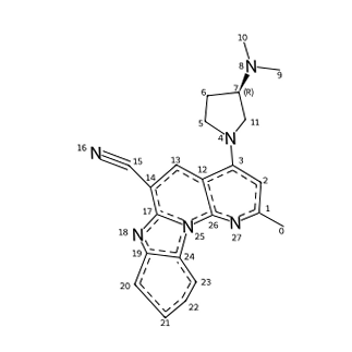 Cc1cc(N2CC[C@@H](N(C)C)C2)c2cc(C#N)c3nc4ccccc4n3c2n1